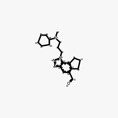 CN(CCCn1nnc2cc(C=O)c3c(c21)CCC3)C1CCCCC1